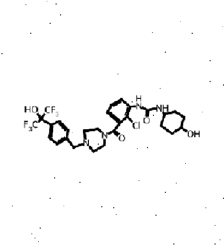 O=C(Nc1cccc(C(=O)N2CCN(Cc3ccc(C(O)(C(F)(F)F)C(F)(F)F)cc3)CC2)c1Cl)NC1CCC(O)CC1